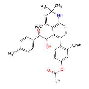 COc1cc(OC(=O)C(C)C)ccc1-c1ccc2c(c1C(O)C(=O)c1ccc(C)cc1)C(C)=CC(C)(C)N2